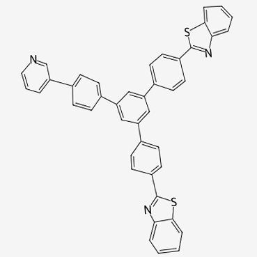 c1cncc(-c2ccc(-c3cc(-c4ccc(-c5nc6ccccc6s5)cc4)cc(-c4ccc(-c5nc6ccccc6s5)cc4)c3)cc2)c1